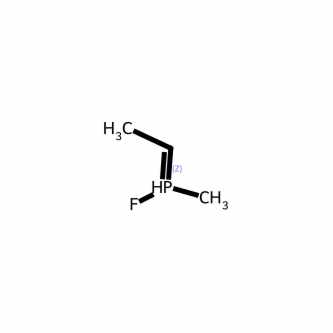 C/C=[PH](/C)F